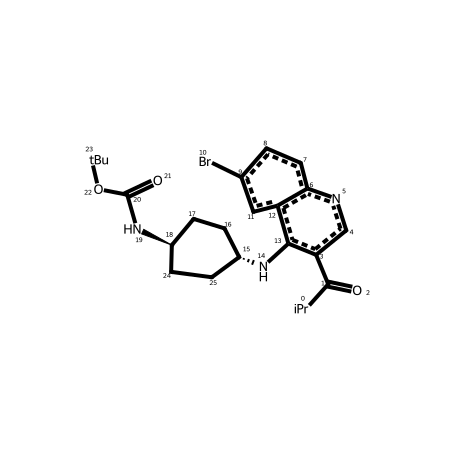 CC(C)C(=O)c1cnc2ccc(Br)cc2c1N[C@H]1CC[C@H](NC(=O)OC(C)(C)C)CC1